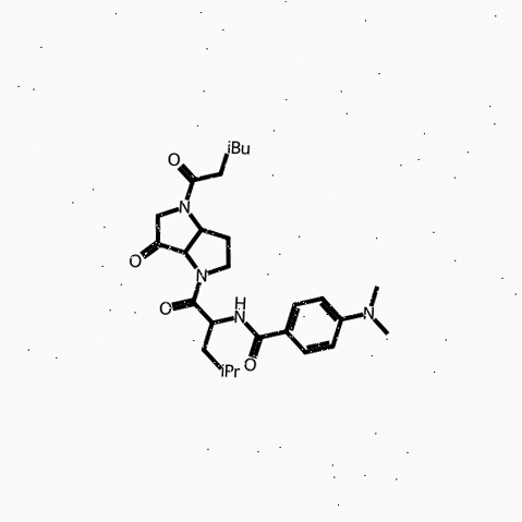 CCC(C)CC(=O)N1CC(=O)C2C1CCN2C(=O)C(CC(C)C)NC(=O)c1ccc(N(C)C)cc1